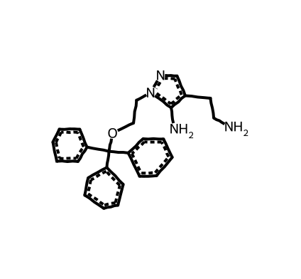 NCCc1cnn(CCOC(c2ccccc2)(c2ccccc2)c2ccccc2)c1N